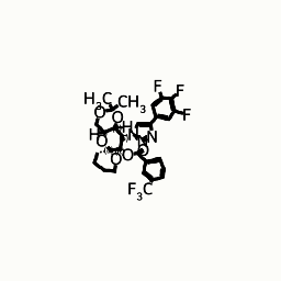 CC1(C)OC[C@H]2O[C@@]3(CCCCO3)[C@H](OC(=O)c3cccc(C(F)(F)F)c3)[C@@H](n3cc(-c4cc(F)c(F)c(F)c4)nn3)[C@H]2O1